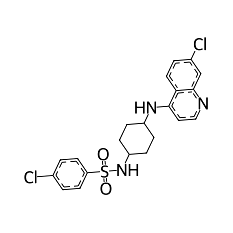 O=S(=O)(NC1CCC(Nc2ccnc3cc(Cl)ccc23)CC1)c1ccc(Cl)cc1